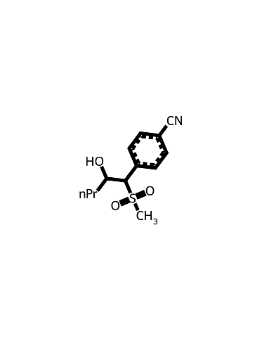 CCCC(O)C(c1ccc(C#N)cc1)S(C)(=O)=O